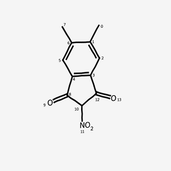 Cc1cc2c(cc1C)C(=O)C([N+](=O)[O-])C2=O